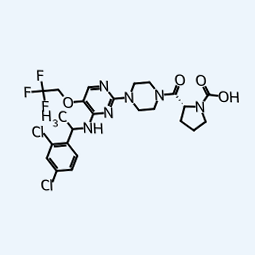 CC(Nc1nc(N2CCN(C(=O)[C@H]3CCCN3C(=O)O)CC2)ncc1OCC(F)(F)F)c1ccc(Cl)cc1Cl